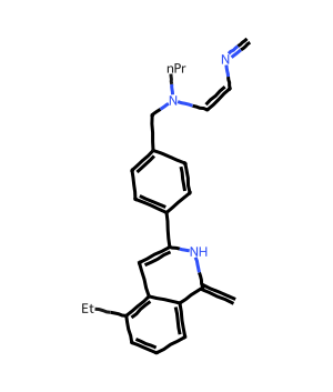 C=N/C=C\N(CCC)Cc1ccc(C2=Cc3c(CC)cccc3C(=C)N2)cc1